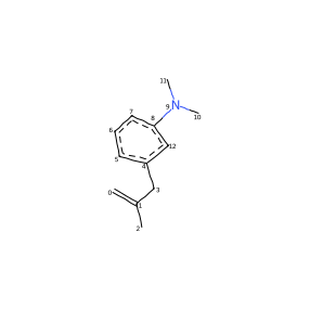 C=C(C)Cc1cccc(N(C)C)c1